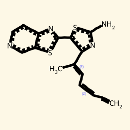 C=C/C=C\C=C(/C)c1nc(N)sc1-c1nc2ccncc2s1